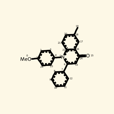 COc1ccc(-n2c(-c3ccccc3)cc(=O)c3cc(C)ccc32)cc1